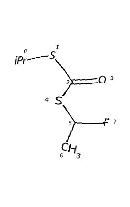 CC(C)SC(=O)SC(C)F